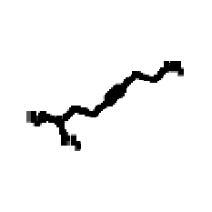 CN(C)CCC#CCCN